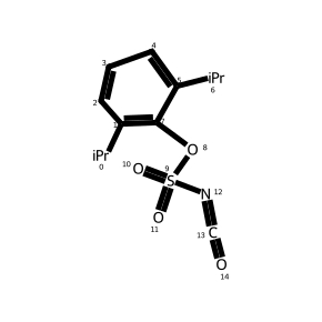 CC(C)c1cccc(C(C)C)c1OS(=O)(=O)N=C=O